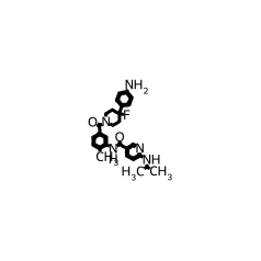 Cc1ccc(C(=O)N2CCC(F)(c3ccc(N)cc3)CC2)cc1NC(=O)c1ccc(NC(C)C)nc1